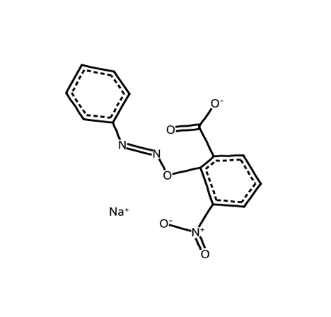 O=C([O-])c1cccc([N+](=O)[O-])c1ON=Nc1ccccc1.[Na+]